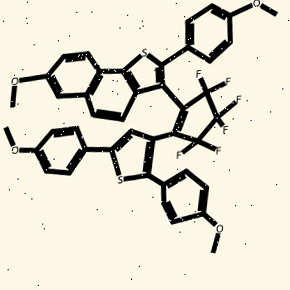 COc1ccc(-c2cc(C3=C(c4c(-c5ccc(OC)cc5)sc5c4ccc4cc(OC)ccc45)C(F)(F)C(F)(F)C3(F)F)c(-c3ccc(OC)cc3)s2)cc1